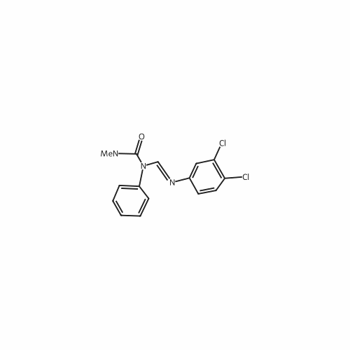 CNC(=O)N(C=Nc1ccc(Cl)c(Cl)c1)c1ccccc1